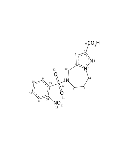 O=C(O)c1cc2n(n1)CCCN(S(=O)(=O)c1ccccc1[N+](=O)[O-])C2